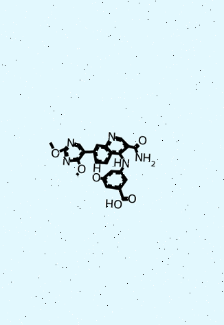 COc1ncc(-c2ccc3c(Nc4cc(O)cc(C(=O)O)c4)c(C(N)=O)cnc3c2)c(OC)n1